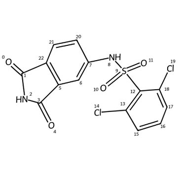 O=C1NC(=O)c2cc(NS(=O)(=O)c3c(Cl)cccc3Cl)ccc21